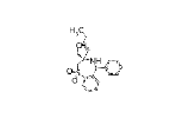 CC/C=C/[C@@]1(CC)CS(=O)(=O)c2ccccc2[C@H](c2ccccc2)N1